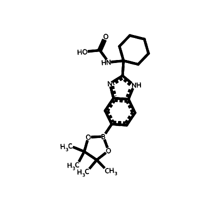 CC1(C)OB(c2ccc3[nH]c(C4(NC(=O)O)CCCCC4)nc3c2)OC1(C)C